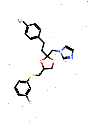 Cc1ccc(CCC2(Cn3ccnc3)OCC(CSc3cccc(Cl)c3)O2)cc1